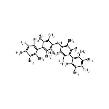 Bc1c(B)c(B)c(-c2c(B)c(B)c(Nc3c(B)c(B)c(-c4c(B)c(B)c(B)c(B)c4B)c(B)c3B)c(B)c2B)c(B)c1B